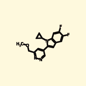 COCc1cc(-c2cc3cc(F)c(F)cc3n2C2CC2)cnn1